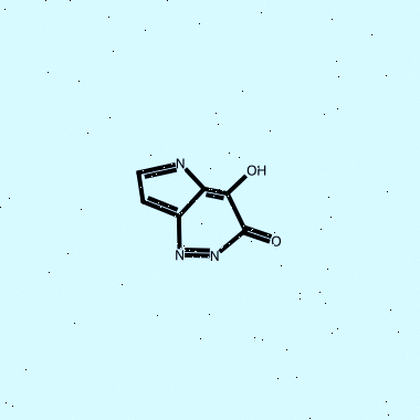 O=C1N=NC2=CC=NC2=C1O